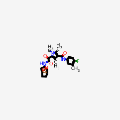 Cc1cc(NC(=O)c2c(C)c(C(=O)C(=O)NC3CC4CCC(C3)S4(=O)=O)n(C)c2C)ccc1F